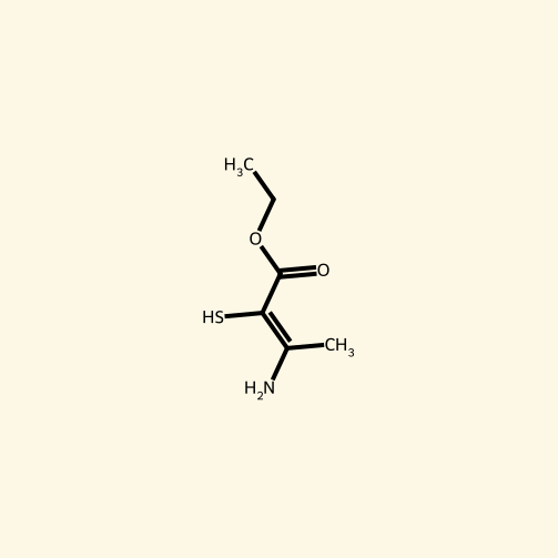 CCOC(=O)/C(S)=C(\C)N